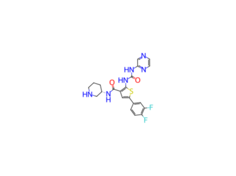 O=C(Nc1cnccn1)Nc1sc(-c2ccc(F)c(F)c2)cc1C(=O)N[C@H]1CCCNC1